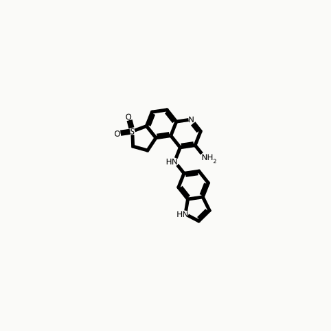 Nc1cnc2ccc3c(c2c1Nc1ccc2cc[nH]c2c1)CCS3(=O)=O